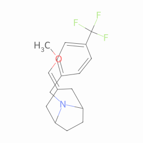 COC=C1CC2CCC(C1)N2Cc1ccc(C(F)(F)F)cc1